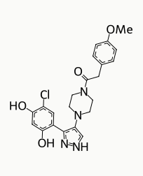 COc1ccc(CC(=O)N2CCN(c3c[nH]nc3-c3cc(Cl)c(O)cc3O)CC2)cc1